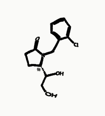 O=C1CC[C@@H](C(O)CO)N1Cc1ccccc1Cl